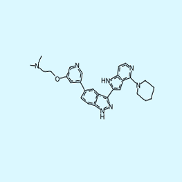 CN(C)CCOc1cncc(-c2ccc3[nH]nc(-c4cc5c(N6CCCCC6)nccc5[nH]4)c3c2)c1